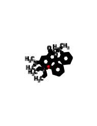 CCN(CC)Cc1ccccc1C1(c2ccccc2N(C)C)OC(=O)c2cc(N(C)C)ccc21